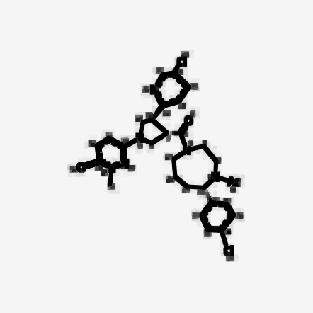 CC(=O)N1CCN(C(=O)[C@@H]2CN(c3ccc(=O)n(C)n3)C[C@H]2c2ccc(Cl)cn2)CCC[C@H]1c1ccc(Cl)cc1